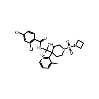 CC(C)(NC(=O)c1ccc(Cl)cc1Cl)C1(c2ncccc2F)CCN(S(=O)(=O)N2CCC2)CC1